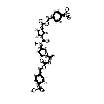 CC(=NC(=O)OCc1ccc([N+](=O)[O-])cc1)N1CCC(NC(=O)[C@H]2CCN(C(=O)OCc3ccc([N+](=O)[O-])cc3)C2)C1